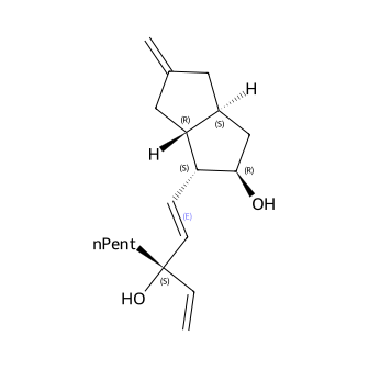 C=C[C@](O)(/C=C/[C@@H]1[C@@H]2CC(=C)C[C@H]2C[C@H]1O)CCCCC